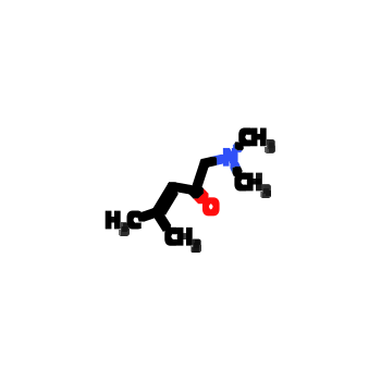 CC(C)=CC(=O)CN(C)C